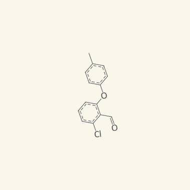 Cc1ccc(Oc2cccc(Cl)c2C=O)cc1